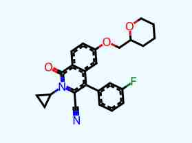 N#Cc1c(-c2cccc(F)c2)c2cc(OCC3CCCCO3)ccc2c(=O)n1C1CC1